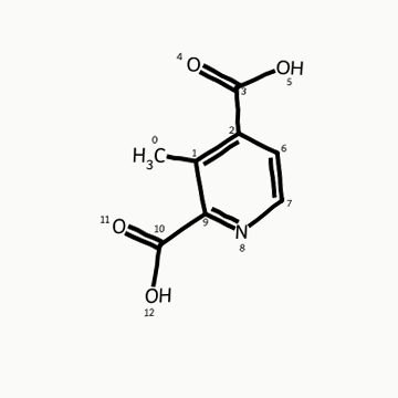 Cc1c(C(=O)O)ccnc1C(=O)O